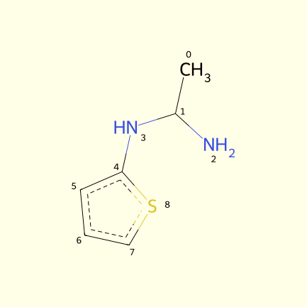 CC(N)Nc1cccs1